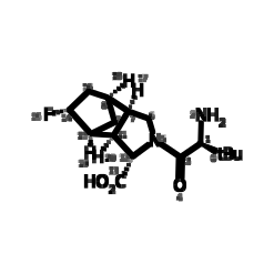 CC(C)(C)[C@H](N)C(=O)N1C[C@@H]2[C@H]3C[C@@H]([C@@H]2[C@H]1C(=O)O)[C@H](F)C3